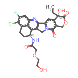 CC[C@@]1(O)C(=O)OCc2c1cc1n(c2=O)Cc2c-1nc1cc(F)c(Cl)c3c1c2[C@H](NC(=O)COCCO)CC3